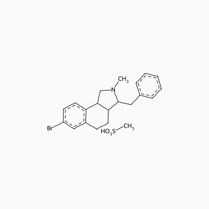 CN1CC2c3ccc(Br)cc3CCC2C1Cc1ccccc1.CS(=O)(=O)O